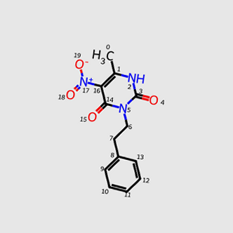 Cc1[nH]c(=O)n(CCc2ccccc2)c(=O)c1[N+](=O)[O-]